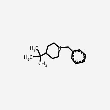 CC(C)(C)C1CCN(Cc2ccccc2)CC1